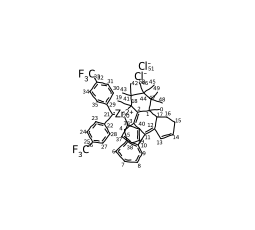 CC12C(=C3Cc4ccccc4C3=C3C=CCCC31)[C](C)([Zr+2](=[C](c1ccc(C(F)(F)F)cc1)c1ccc(C(F)(F)F)cc1)[CH]1C=CC=C1)C(C)(C)C(C)(C)C2(C)C.[Cl-].[Cl-]